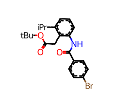 CC(C)c1cccc(NC(=O)c2ccc(Br)cc2)c1CC(=O)OC(C)(C)C